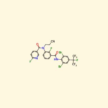 N#CCCN(C(=O)c1ccc(F)nc1)c1cccc(C(=O)Nc2c(Br)cc(C(F)(C(F)(F)F)C(F)(F)F)cc2Br)c1F